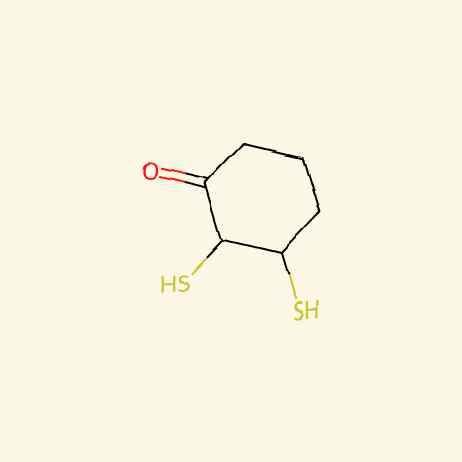 O=C1CCCC(S)C1S